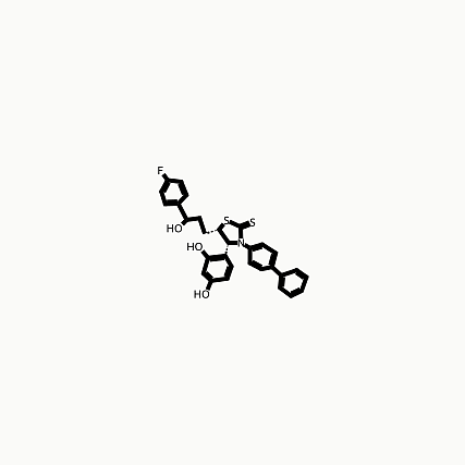 Oc1ccc([C@@H]2[C@H](CCC(O)c3ccc(F)cc3)SC(=S)N2c2ccc(-c3ccccc3)cc2)c(O)c1